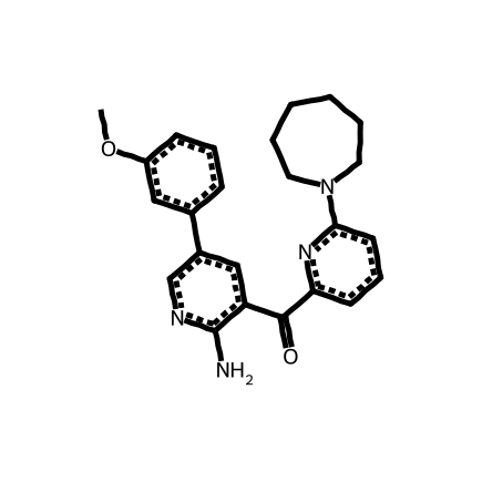 COc1cccc(-c2cnc(N)c(C(=O)c3cccc(N4CCCCCC4)n3)c2)c1